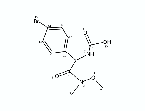 CON(C)C(=O)C(NC(=O)O)c1ccc(Br)cc1